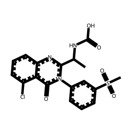 CC(NC(=O)O)c1nc2cccc(Cl)c2c(=O)n1-c1cccc(S(C)(=O)=O)c1